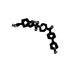 C#Cc1ccc2[nH]c(S(=O)(=O)N3CCN(C(=O)c4ccc(-c5cc[n+]([O-])cc5)cc4)CC3)cc2c1